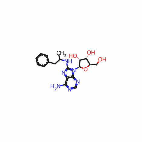 CC(Cc1ccccc1)Nc1nc2c(N)ncnc2n1[C@@H]1O[C@H](CO)[C@@H](O)[C@H]1O